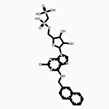 O=P(O)(O)CP(=O)(O)OCC1OC(n2cnc3c(NCc4ccc5ccccc5c4)nc(Cl)nc32)C(O)C1O